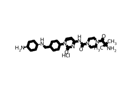 CC(C)(N)C(=O)N1CCN(C(=O)Nc2ccn(C3CCC(CN[C@H]4CC[C@H](N)CC4)CC3)c(=O)n2)CC1.Cl